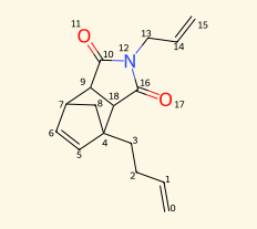 C=CCCC12C=CC(C1)C1C(=O)N(CC=C)C(=O)C12